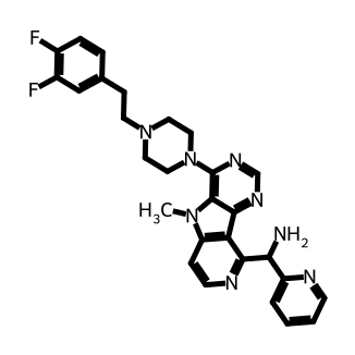 Cn1c2ccnc(C(N)c3ccccn3)c2c2ncnc(N3CCN(CCc4ccc(F)c(F)c4)CC3)c21